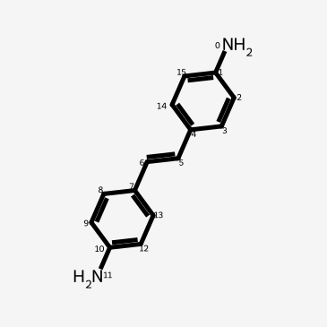 Nc1ccc(C=Cc2ccc(N)cc2)cc1